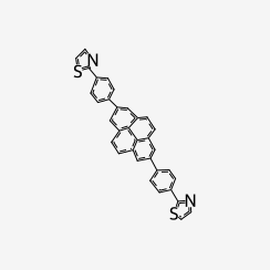 c1csc(-c2ccc(-c3cc4ccc5cc(-c6ccc(-c7nccs7)cc6)cc6ccc(c3)c4c56)cc2)n1